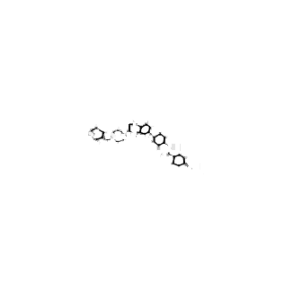 Nc1ccc(C(=O)Nc2ccc(-c3ccc4ncc(N5CCN(Cc6cccnc6)CC5)nc4c3)cc2)cc1